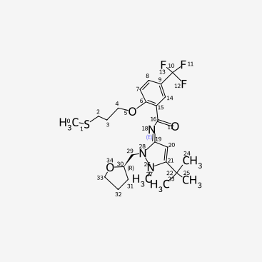 CSCCCOc1ccc(C(F)(F)F)cc1C(=O)/N=c1\cc(C(C)(C)C)n(C)n1C[C@H]1CCCO1